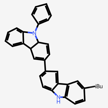 CCC(C)c1ccc2[nH]c3ccc(C4=CC5c6ccccc6N(c6ccccc6)C5C=C4)cc3c2c1